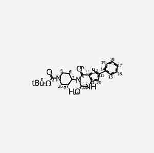 CC(C)(C)OC(=O)N1CCC(N2C(=O)c3sc(-c4ccccc4)cc3NC2O)CC1